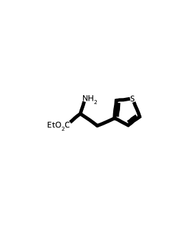 CCOC(=O)C(N)Cc1ccsc1